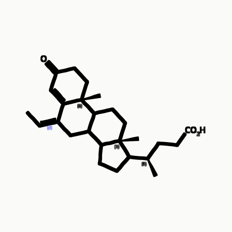 C/C=C1/CC2C3CCC([C@H](C)CCC(=O)O)[C@@]3(C)CCC2[C@@]2(C)CCC(=O)C=C12